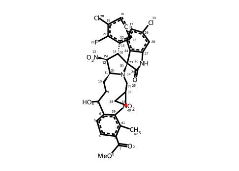 COC(=O)c1ccc(C(O)CC[C@H]2[C@@H]([N+](=O)[O-])[C@H](c3cccc(Cl)c3F)[C@]3(C(=O)Nc4cc(Cl)ccc43)N2CC2CC2)c([N+](=O)[O-])c1C